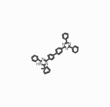 CC1(C2=NC(c3ccc(-c4ccc(-c5nc(C6=CCCC=C6)nc(-c6ccccc6)n5)cc4)cc3)=NC(c3ccccc3)N2)C=CC=CC1